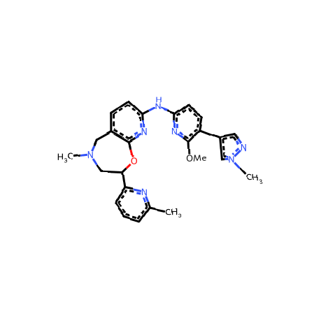 COc1nc(Nc2ccc3c(n2)OC(c2cccc(C)n2)CN(C)C3)ccc1-c1cnn(C)c1